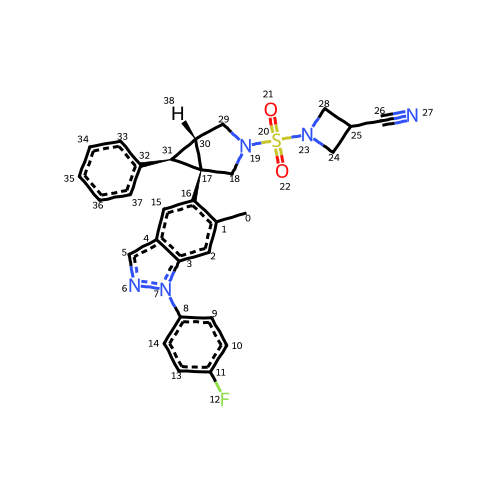 Cc1cc2c(cnn2-c2ccc(F)cc2)cc1[C@]12CN(S(=O)(=O)N3CC(C#N)C3)C[C@H]1[C@@H]2c1ccccc1